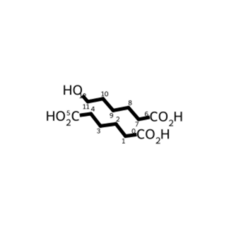 O=C(O)CCCCC(=O)O.O=C(O)CCCCCO